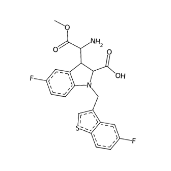 COC(=O)C(N)C1c2cc(F)ccc2N(Cc2csc3ccc(F)cc23)C1C(=O)O